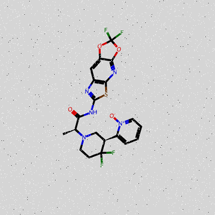 C[C@@H](C(=O)Nc1nc2cc3c(nc2s1)OC(F)(F)O3)N1CCC(F)(F)[C@H](c2cccc[n+]2[O-])C1